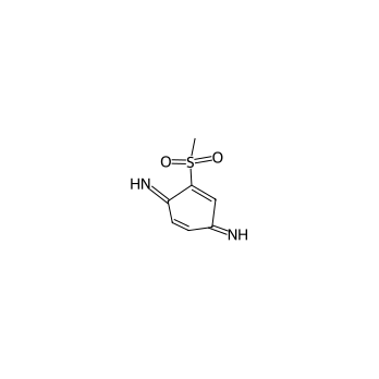 CS(=O)(=O)C1=CC(=N)C=CC1=N